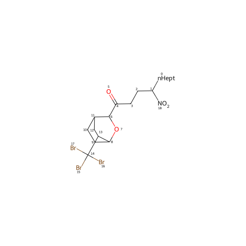 [CH2]CCCCCCC(CCC(=O)[C]1OC2CCC1CC2C(Br)(Br)Br)[N+](=O)[O-]